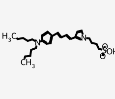 CCCCCN(CCCCC)c1ccc(C=CC=Cc2ccn(CCCCS(=O)(=O)O)c2)cc1